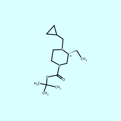 CC[C@@H]1CN(C(=O)OC(C)(C)C)CCN1CC1CC1